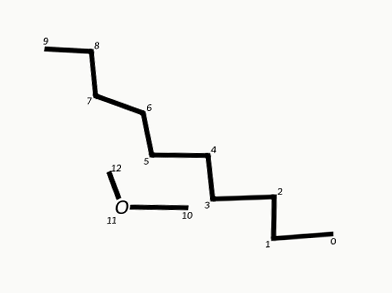 CCCCCCCCCC.COC